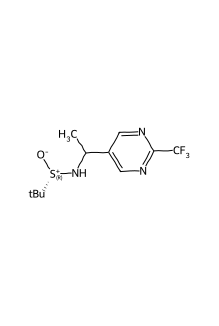 CC(N[S@@+]([O-])C(C)(C)C)c1cnc(C(F)(F)F)nc1